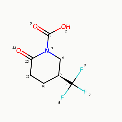 O=C(O)N1C[C@@H](C(F)(F)F)CCC1=O